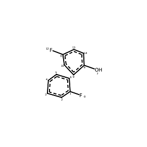 Fc1ccccc1.Oc1ccc(F)cc1